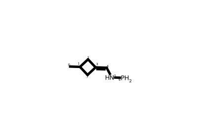 CC1CC(=CNP)C1